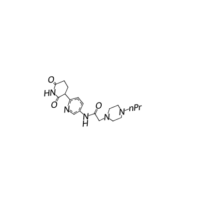 CCCN1CCN(CC(=O)Nc2ccc(C3CCC(=O)NC3=O)nc2)CC1